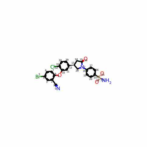 N#Cc1cc(Br)ccc1Oc1cc([C@H]2CC(=O)N(c3ccc(S(N)(=O)=O)cc3)C2)ccc1Cl